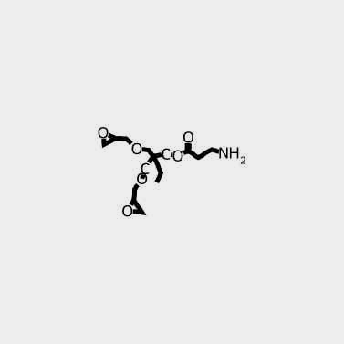 CCC(COCC1CO1)(COCC1CO1)COC(=O)CCN